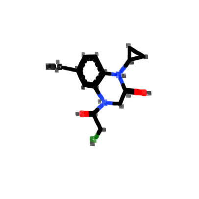 O=C(O)c1ccc2c(c1)N(C(=O)CCl)CC(=O)N2C1CC1